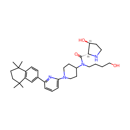 CC1(C)CCC(C)(C)c2cc(-c3cccc(N4CCC(N(CCCCO)C(=O)[C@H]5NCC[C@@H]5O)CC4)n3)ccc21